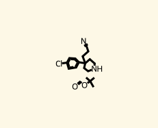 CC(C)(C)OC=O.N#CCCC1(c2ccc(Cl)cc2)CCNCC1